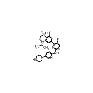 CC(C)N1CCS(=O)(=O)c2c(F)cc(-c3nc(Nc4ccc(N5CCNCC5)cn4)ncc3F)cc21